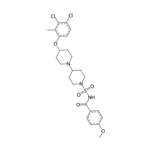 COc1ccc(C(=O)NS(=O)(=O)N2CCC(N3CCC(Oc4ccc(Cl)c(Cl)c4C)CC3)CC2)cc1